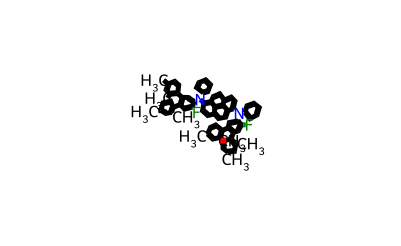 Cc1ccc(-c2cc(F)c(N(c3ccccc3)c3ccc4ccc5c(N(c6ccccc6)c6cc(-c7ccc(C)cc7C)c(-c7ccc(C)cc7C)cc6F)ccc6ccc3c4c65)cc2-c2ccc(C)cc2C)c(C)c1